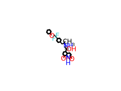 CC(Cc1ccc(C(F)(F)COc2ccccc2)cc1)NC[C@H](O)c1ccc(O)c2[nH]c(=O)ccc12